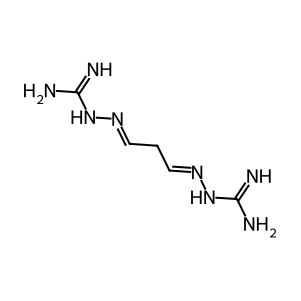 N=C(N)NN=CCC=NNC(=N)N